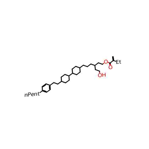 C=C(CC)C(=O)OCCC(CCO)CCCC1CCC(C2CCC(CCc3ccc(CCCCC)cc3)CC2)CC1